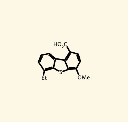 CCc1cccc2c1sc1c(OC)ccc(C(=O)O)c12